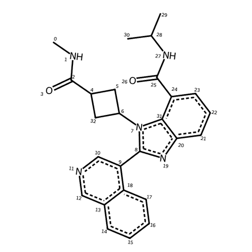 CNC(=O)C1CC(n2c(-c3cncc4ccccc34)nc3cccc(C(=O)NC(C)C)c32)C1